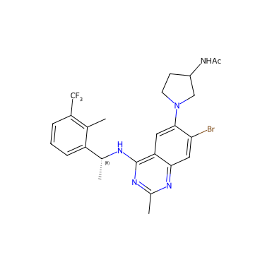 CC(=O)NC1CCN(c2cc3c(N[C@H](C)c4cccc(C(F)(F)F)c4C)nc(C)nc3cc2Br)C1